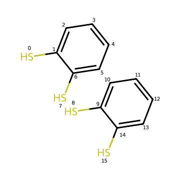 Sc1ccccc1S.Sc1ccccc1S